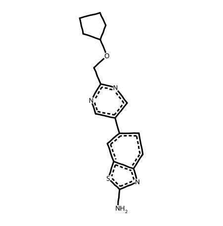 Nc1nc2ccc(-c3cnc(COC4CCCC4)nc3)cc2s1